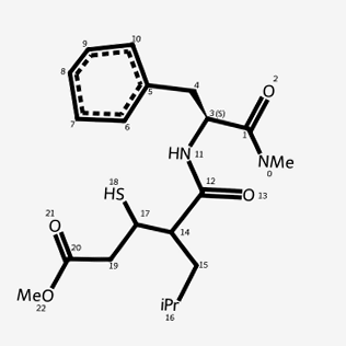 CNC(=O)[C@H](Cc1ccccc1)NC(=O)C(CC(C)C)C(S)CC(=O)OC